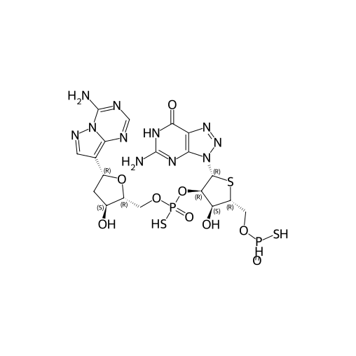 Nc1nc2c(nnn2[C@@H]2S[C@H](CO[PH](=O)S)[C@@H](O)[C@H]2OP(=O)(S)OC[C@H]2O[C@@H](c3cnn4c(N)ncnc34)C[C@@H]2O)c(=O)[nH]1